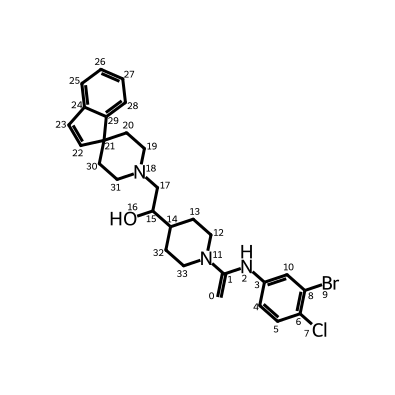 C=C(Nc1ccc(Cl)c(Br)c1)N1CCC(C(O)CN2CCC3(C=Cc4ccccc43)CC2)CC1